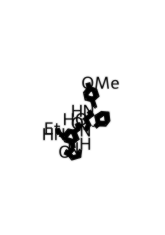 CCNc1cc(C(=O)N[C@@H](Cc2ccccc2)[C@H](O)CNCc2ccc(OC)cc2)cc(N2CCCC2=O)c1